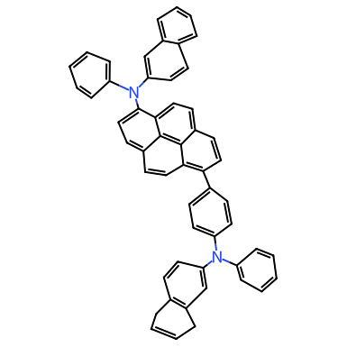 C1=CCc2cc(N(c3ccccc3)c3ccc(-c4ccc5ccc6c(N(c7ccccc7)c7ccc8ccccc8c7)ccc7ccc4c5c76)cc3)ccc2C1